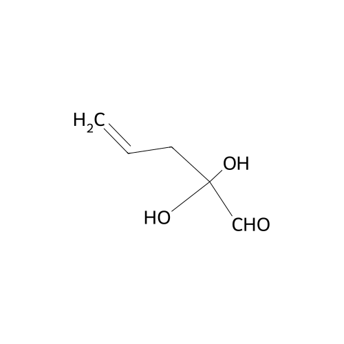 C=CCC(O)(O)C=O